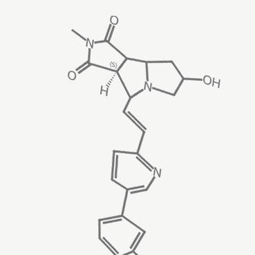 CN1C(=O)C2C3CC(O)CN3C(C=Cc3ccc(-c4cccc(F)c4)cn3)[C@H]2C1=O